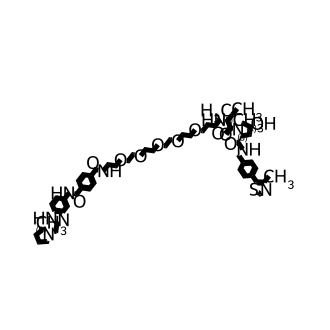 Cc1ncsc1-c1ccc(CNC(=O)[C@@H]2C[C@@H](O)CN2C(=O)[C@@H](NC(=O)CCOCCOCCOCCOCCOCCNC(=O)c2ccc(C(=O)Nc3ccc4[nH]c(CN5CCC[C@@H]5C)nc4c3)cc2)C(C)(C)C)cc1